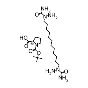 CC(C)(C)OC(=O)N1CCC[C@@H]1C(=O)O.NC(=O)N(N)CCCCCCCCCCCCN(N)C(N)=O